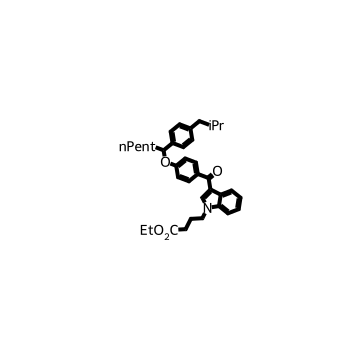 CCCCCC(Oc1ccc(C(=O)c2cn(CCCC(=O)OCC)c3ccccc23)cc1)c1ccc(CC(C)C)cc1